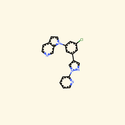 Clc1cc(-c2cnn(-c3ccccn3)c2)cc(-n2ccc3ccncc32)c1